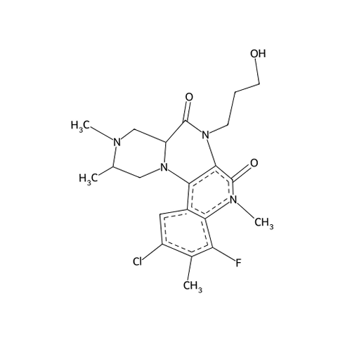 Cc1c(Cl)cc2c3c(c(=O)n(C)c2c1F)N(CCCO)C(=O)C1CN(C)C(C)CN31